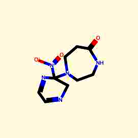 O=C1CCN(C2([N+](=O)[O-])CN=CC=N2)CCN1